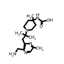 Cc1cnc(CN)c(CC(C)(C)N2CCC(C)(NC(=O)O)CC2)n1